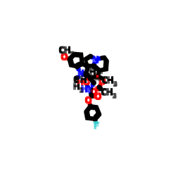 CC[C@]12C=CCN3CC[C@@]4(c5ccc(OC)cc5N(C)[C@H]4C(O)(CNC(=O)Oc4ccc(F)cc4)[C@@H]1OC(C)=O)[C@@H]32